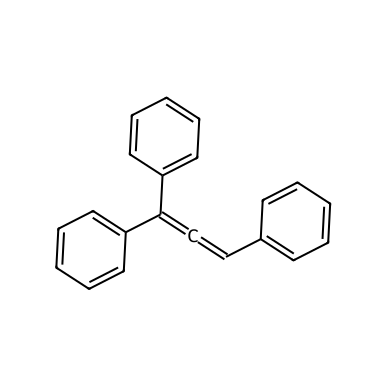 C(=Cc1ccccc1)=C(c1ccccc1)c1ccccc1